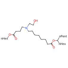 CCCCCCOC(=O)CCCN(CCO)CCCCCCCC(=O)OC(CCCCC)CCCCCC